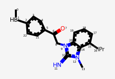 CBc1ccc(C(=O)Cn2c(=N)n(C)c3c(C(C)C)cccc32)cc1